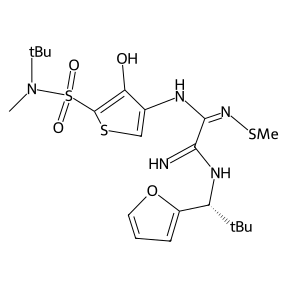 CS/N=C(/Nc1csc(S(=O)(=O)N(C)C(C)(C)C)c1O)C(=N)N[C@@H](c1ccco1)C(C)(C)C